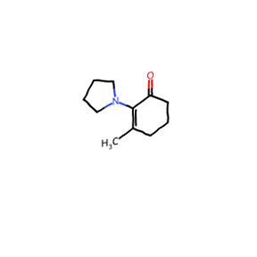 CC1=C(N2CCCC2)C(=O)CCC1